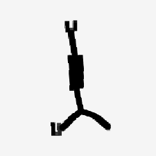 [Li][C]#C[CH]([Li])C